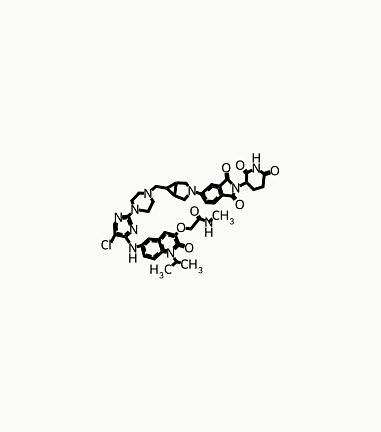 CNC(=O)COc1cc2cc(Nc3nc(N4CCN(CC5C6CN(c7ccc8c(c7)C(=O)N(C7CCC(=O)NC7=O)C8=O)CC56)CC4)ncc3Cl)ccc2n(C(C)C)c1=O